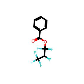 O=C(OC(F)(F)C(F)C(F)(F)F)c1ccccc1